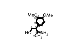 COc1ccc(C(CO)C(C)N)cc1OC